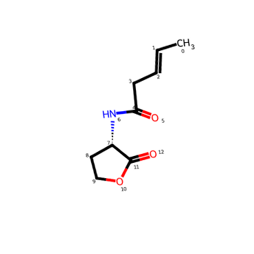 C/C=C/CC(=O)N[C@H]1CCOC1=O